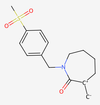 [CH2-][C+]1CCCCN(Cc2ccc(S(C)(=O)=O)cc2)C1=O